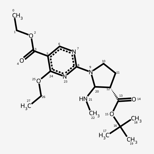 CCOC(=O)c1cnc(N2CC[C@H](C(=O)OC(C)(C)C)C2NC)nc1OCC